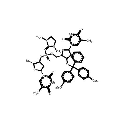 CC[C@H]1O[C@@H](n2cc(C)c(=O)[nH]c2=O)CC1O[P@@](=O)(N=C1N(C)CCN1C)OC[C@H]1O[C@@H](n2cc(C)c(=O)[nH]c2=O)CC1OC(c1ccccc1)(c1ccc(OC)cc1)c1ccc(OC)cc1